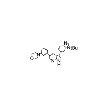 CC(C)(C)n1cnc2ccc(-c3c[nH]c4ncc(-c5cccc(N6CCOCC6)c5)cc34)cc21